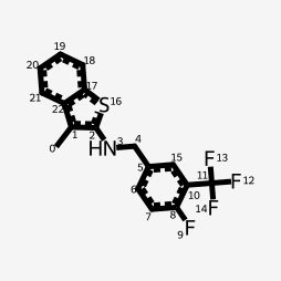 Cc1c(NCc2ccc(F)c(C(F)(F)F)c2)sc2ccccc12